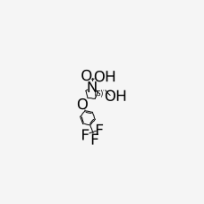 O=C(O)N1CC(Oc2ccc(C(F)(F)F)cc2)C[C@H]1CO